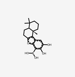 CC1(C)CCC[C@]2(C)c3c(oc4c(B(O)O)c(O)c(O)cc34)CCC12